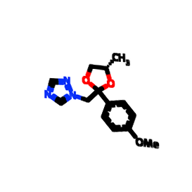 COc1ccc(C2(Cn3cncn3)OC[C@H](C)O2)cc1